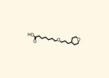 O=C(O)CCCCCCOCCCC1CCOCC1